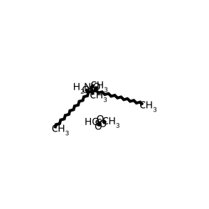 CCCCCCCCCCCCCCCC(=O)C(C)(C(=O)CCCCCCCCCCCCCCC)C(C)N.COS(=O)(=O)O